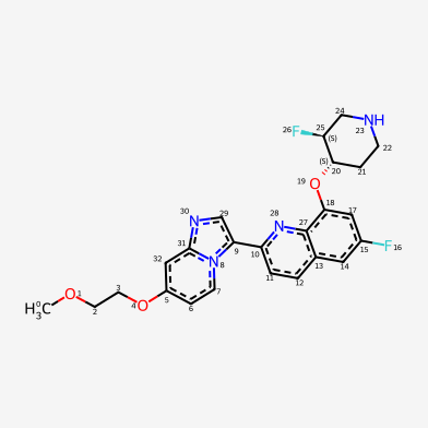 COCCOc1ccn2c(-c3ccc4cc(F)cc(O[C@H]5CCNC[C@@H]5F)c4n3)cnc2c1